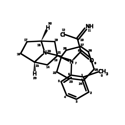 Cc1ccccc1N(C(=O)C(=N)Cl)[C@H]1C[C@H]2CC[C@@H](C1)N2C1CCCCCCC1